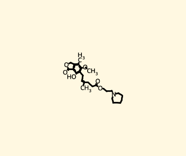 COc1c(C)c2c(c(O)c1CC=C(C)CCC(=O)OCCCN1CCCCCC1)C(=O)OC2